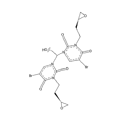 O=C(O)C(n1cc(Br)c(=O)n(CC[C@H]2CO2)c1=O)n1cc(Br)c(=O)n(CC[C@H]2CO2)c1=O